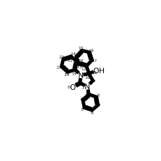 O=C1N(c2ccccc2)CC(O)(c2ccccc2)N1c1ccccc1